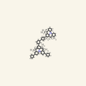 CC1(C)c2ccccc2N2c3ccccc3C(C)(C)c3cc(-c4ccc(-c5cccc(-c6cc7c8c(c6)C(C)(C)c6cc(-c9ccccc9)ccc6N8c6ccc(-c8ccccc8)cc6C7(C)C)c5)cc4)cc1c32